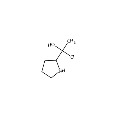 CC(O)(Cl)C1CCCN1